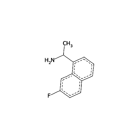 CC(N)c1cccc2ccc(F)cc12